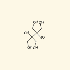 O=NC(CO)(CO)C(CO)(CO)N=O